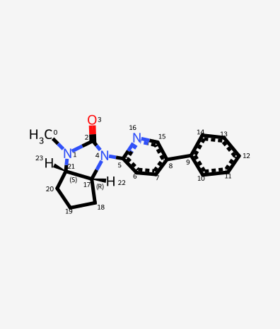 CN1C(=O)N(c2ccc(-c3ccccc3)cn2)[C@@H]2CCC[C@@H]21